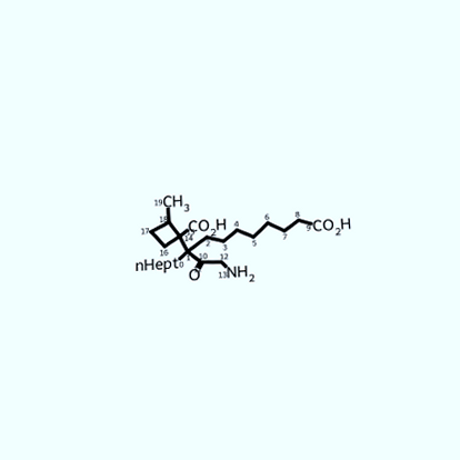 CCCCCCCC(CCCCCCCC(=O)O)(C(=O)CN)C1(C(=O)O)CCC1C